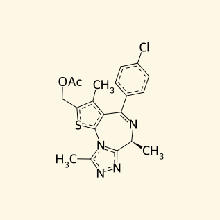 CC(=O)OCc1sc2c(c1C)C(c1ccc(Cl)cc1)=N[C@@H](C)c1nnc(C)n1-2